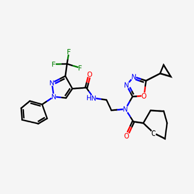 O=C(NCCN(C(=O)C1CCCCC1)c1nnc(C2CC2)o1)c1cn(-c2ccccc2)nc1C(F)(F)F